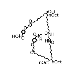 CCCCCCCCC(CCCCCCCCC(=O)NCCNC(=O)CCCCCCCCC(CCCCCCCC)C(CCCCCCCC)CCCCCCCCC(=O)OCCOc1ccc(C(=O)C(C)(C)O)cc1)C(CCCCCCCC)CCCCCCCCC(=O)OCCOc1ccc(C(=O)C(C)(C)O)cc1